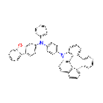 c1ccc(N(c2ccc(-n3c4cccc5c4c4c6c(cccc6ccc43)-c3ccccc3-5)cc2)c2ccc3c(c2)oc2ccccc23)cc1